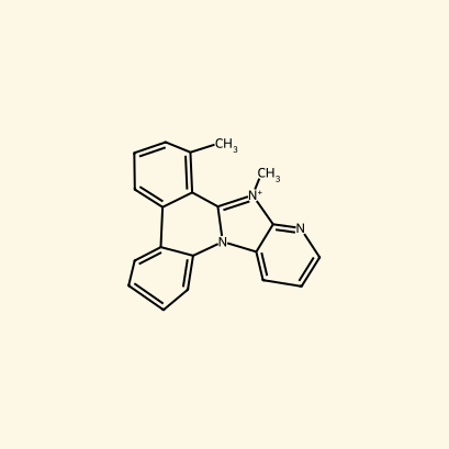 Cc1cccc2c3ccccc3n3c4cccnc4[n+](C)c3c12